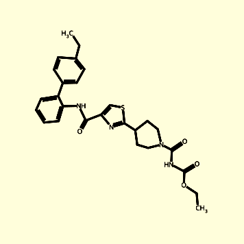 CCOC(=O)NC(=O)N1CCC(c2nc(C(=O)Nc3ccccc3-c3ccc(CC)cc3)cs2)CC1